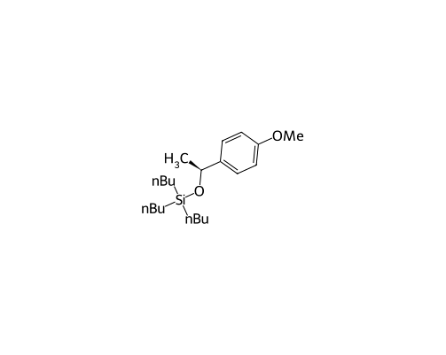 CCCC[Si](CCCC)(CCCC)O[C@@H](C)c1ccc(OC)cc1